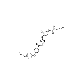 CCCCCNC(=O)Nc1ccc(Oc2cnc(NC(=O)c3ccc(OC4CCN(CCCC)CC4)cc3)s2)c(OC)c1